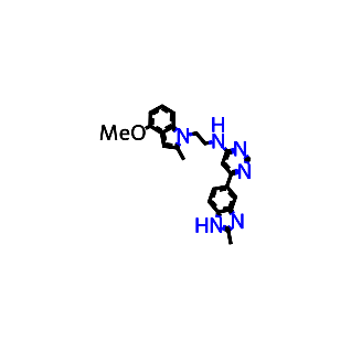 COc1cccc2c1cc(C)n2CCNc1cc(-c2ccc3[nH]c(C)nc3c2)ncn1